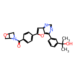 CC(C)(O)c1cccc(-c2ncnc3cc(-c4ccc(C(=O)N5CC6OCC65)cc4)oc23)c1